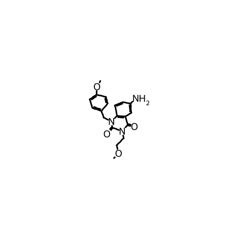 COCCn1c(=O)c2cc(N)ccc2n(Cc2ccc(OC)cc2)c1=O